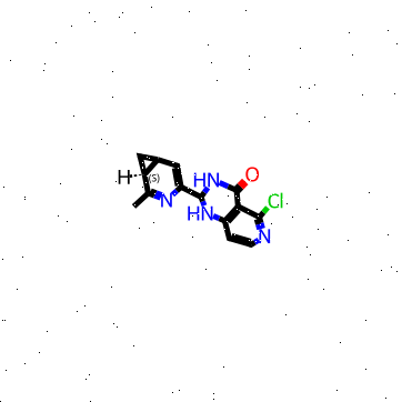 CC1=NC(C2NC(=O)c3c(ccnc3Cl)N2)=CC2C[C@H]12